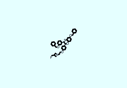 FCC1CN(CCOc2ccc([C@@H]3Oc4ccc(OCc5ccccc5)cc4S[C@@H]3c3cccc(OCc4ccccc4)c3)cc2)C1